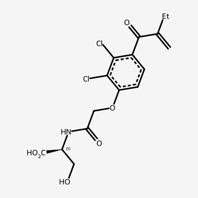 C=C(CC)C(=O)c1ccc(OCC(=O)N[C@@H](CO)C(=O)O)c(Cl)c1Cl